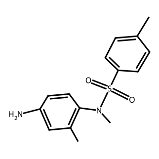 Cc1ccc(S(=O)(=O)N(C)c2ccc(N)cc2C)cc1